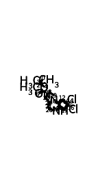 CC(C)(C)OC(=O)N1CCN2c3cc(Cl)c(Cl)cc3NCCC2C1